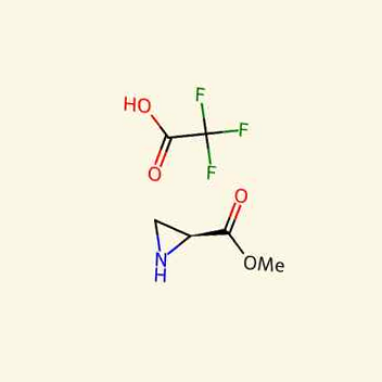 COC(=O)[C@@H]1CN1.O=C(O)C(F)(F)F